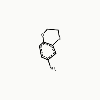 Nc1ccc2c(c1)SCCO2